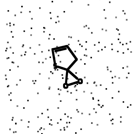 C1=CSC2(C1)OO2